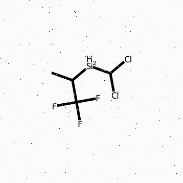 CC([SiH2]C(Cl)Cl)C(F)(F)F